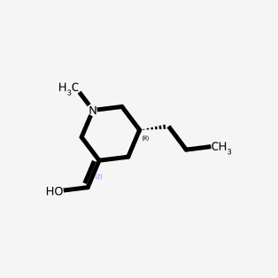 CCC[C@@H]1C/C(=C/O)CN(C)C1